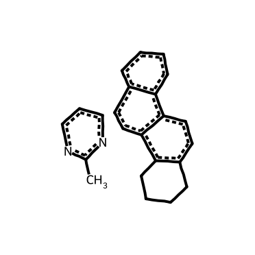 Cc1ncccn1.c1ccc2c(c1)ccc1c3c(ccc12)CCCC3